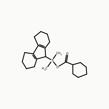 [CH3][Ti]([CH3])([O]C(=O)C1CCCCC1)[CH]1C2=C(CCCC2)C2=C1CCCC2